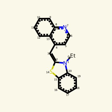 CCN1C(=Cc2ccnc3ccccc23)Sc2ccccc21